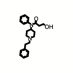 O=C(CCO)N(c1ccccc1)C1CCN(CCc2ccccc2)CC1